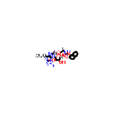 COc1nc(N)nc2c1nc(I)n2[C@@H]1O[C@H](CO[P@](=O)(N[C@@H](C)C(=O)OC(C)C)Oc2cccc3ccccc23)[C@@H](O)[C@@]1(C)O